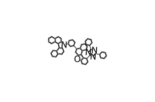 c1ccc(-c2nc(-c3ccccc3)nc(-c3cccc4oc5cc(-c6cccc(-n7c8ccc9ccccc9c8c8c9ccccc9ccc87)c6)c6ccccc6c5c34)n2)cc1